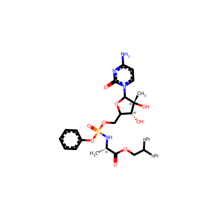 CCCC(CCC)COC(=O)[C@H](C)NP(=O)(OCC1OC(n2ccc(N)nc2=O)[C@](C)(O)[C@@H]1O)Oc1ccccc1